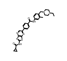 CCN1CCN(Cc2ccc(NC(=O)c3ccc(-c4cnc5nc(NC(=O)C6CC6)sc5n4)cc3)cc2C)CC1